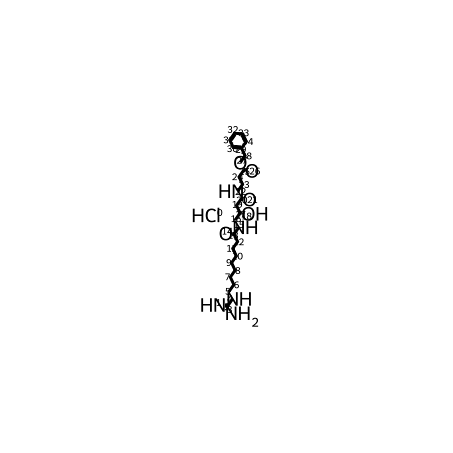 Cl.N=C(N)NCCCCCCCCC(=O)NCC(O)CC(=O)NCCC(=O)OCc1ccccc1